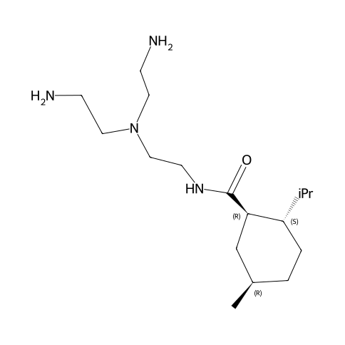 CC(C)[C@@H]1CC[C@@H](C)C[C@H]1C(=O)NCCN(CCN)CCN